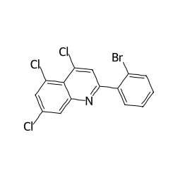 Clc1cc(Cl)c2c(Cl)cc(-c3ccccc3Br)nc2c1